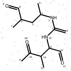 C=C(NC(C)CC(C)C=O)NC(C=O)C(C)C(C)=O